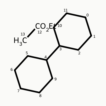 C1CCC(C2CCCCC2)CC1.CCOC(C)=O